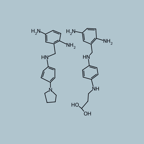 Nc1ccc(N)c(CNc2ccc(N3CCCC3)cc2)c1.Nc1ccc(N)c(CNc2ccc(NCCC(O)O)cc2)c1